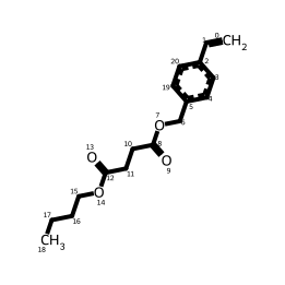 C=Cc1ccc(COC(=O)CCC(=O)OCCCC)cc1